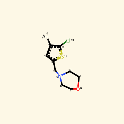 CC(=O)c1cc(CN2CCOCC2)sc1Cl